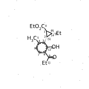 CCOC(=O)C1[C@@H](c2c(C)ccc(C(=O)CC)c2O)[C@H]1CC